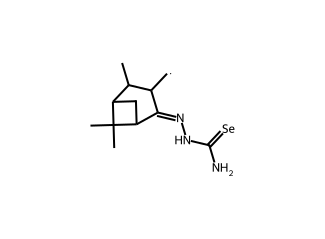 [CH2]C1C(=NNC(N)=[Se])C2CC(C1C)C2(C)C